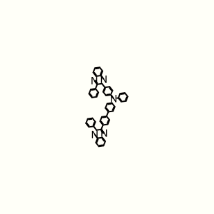 c1ccc(-c2nc3ccccc3nc2-c2ccc(-c3ccc(N(c4ccccc4)c4ccc(-c5nc6ccccc6nc5-c5ccccc5)cc4)cc3)cc2)cc1